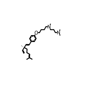 C=C[C@@](C)(/C=C/c1ccc(OCCCCN(C)CCCN(C)C)cc1)CCC=C(C)C